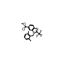 COC(=O)c1ccc2nc(C(F)(F)F)n(Cc3c(C)cccc3C)c2c1